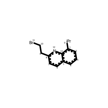 CC(C)c1cccc2ccc(CCBr)nc12